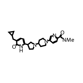 CNC(=O)c1ccc(N2CCC(N3CCC(c4ccc(CC5CC5)c(=O)[nH]4)C3)CC2)cn1